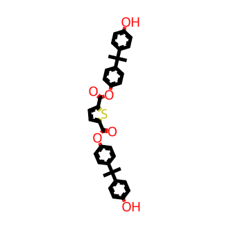 CC(C)(c1ccc(O)cc1)c1ccc(OC(=O)c2ccc(C(=O)Oc3ccc(C(C)(C)c4ccc(O)cc4)cc3)s2)cc1